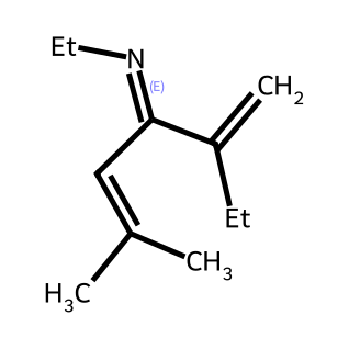 C=C(CC)/C(C=C(C)C)=N/CC